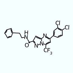 O=C(NCCc1ccccc1)c1cc2nc(-c3ccc(Cl)c(Cl)c3)cc(C(F)(F)F)n2n1